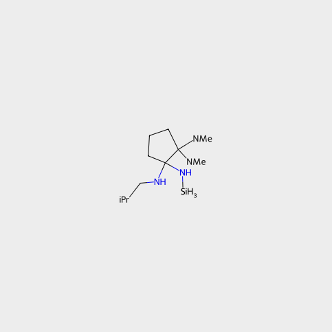 CNC1(NC)CCCC1(N[SiH3])NCC(C)C